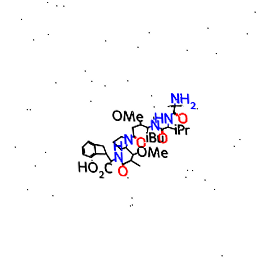 CCC(C)C(C(CC(=O)N1CCCC1C(OC)C(C)C(=O)NC(C(=O)O)C1Cc2ccccc21)OC)N(C)C(=O)C(NC(=O)C(C)(C)N)C(C)C